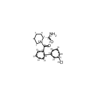 NC(=O)[C@H]1[CH]CCCN1C(=O)c1ccccc1-c1cccc(Cl)c1